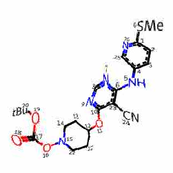 CSc1ccc(Nc2ncnc(OC3CCN(OC(=O)OC(C)(C)C)CC3)c2C#N)cn1